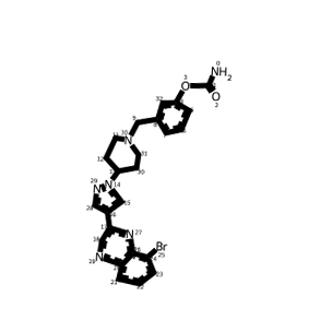 NC(=O)Oc1cccc(CN2CCC(n3cc(-c4cnc5cccc(Br)c5n4)cn3)CC2)c1